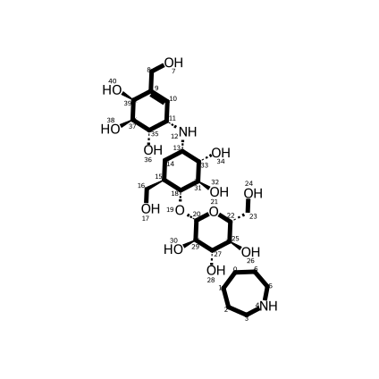 C1CCCNCC1.OCC1=C[C@H](N[C@H]2C[C@H](CO)[C@@H](O[C@@H]3O[C@H](CO)[C@@H](O)[C@H](O)[C@H]3O)[C@H](O)[C@H]2O)[C@H](O)[C@@H](O)[C@H]1O